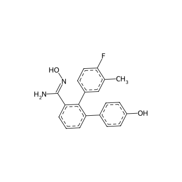 Cc1cc(-c2c(C(N)=NO)cccc2-c2ccc(O)cc2)ccc1F